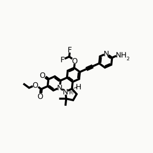 CCOC(=O)c1cn2c(cc1=O)-c1cc(OC(F)F)c(C#Cc3ccc(N)nc3)cc1[C@H]1CCC(C)(C)N12